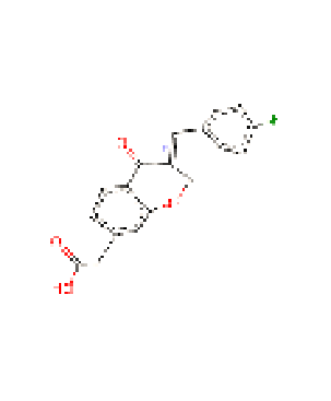 O=C(O)Cc1ccc2c(c1)OC/C(=C\c1ccc(F)cc1)C2=O